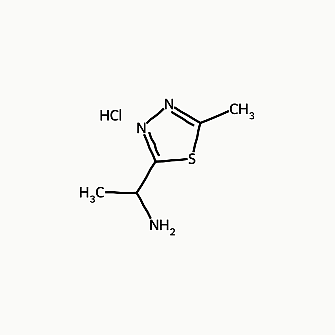 Cc1nnc(C(C)N)s1.Cl